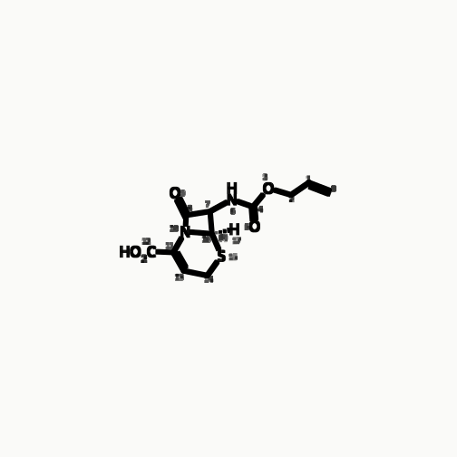 C=CCOC(=O)NC1C(=O)N2C(C(=O)O)=CCS[C@H]12